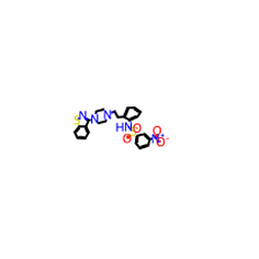 O=[N+]([O-])c1cccc(S(=O)(=O)Nc2ccccc2CCN2CCN(c3nsc4ccccc34)CC2)c1